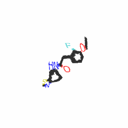 CCOc1cccc(CC(=O)Nc2ccc3ncsc3c2)c1F